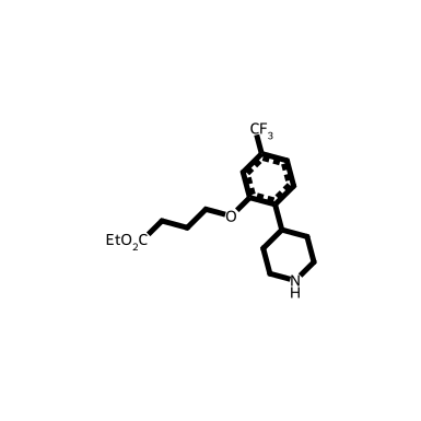 CCOC(=O)CCCOc1cc(C(F)(F)F)ccc1C1CCNCC1